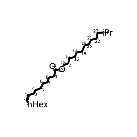 CCCCCC/C=C\CCCCCCCC(=O)OCCCCCCCCCCCC(C)C